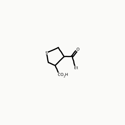 CCC(=O)C1CSCC1C(=O)O